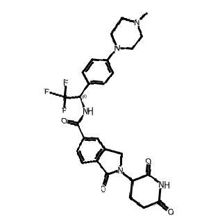 CN1CCN(c2ccc([C@@H](NC(=O)c3ccc4c(c3)CN(C3CCC(=O)NC3=O)C4=O)C(F)(F)F)cc2)CC1